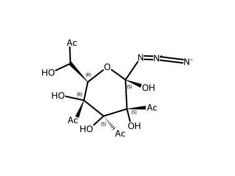 CC(=O)C(O)[C@H]1O[C@](O)(N=[N+]=[N-])[C@@](O)(C(C)=O)[C@](O)(C(C)=O)[C@@]1(O)C(C)=O